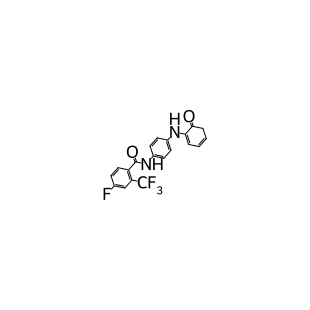 O=C1CC=CC=C1Nc1ccc(NC(=O)c2ccc(F)cc2C(F)(F)F)cc1